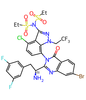 CCS(=O)(=O)N(c1nn(CC(F)(F)F)c2c(-n3c([C@@H](N)Cc4cc(F)cc(F)c4)nc4cc(Br)ccc4c3=O)ccc(Cl)c12)S(=O)(=O)CC